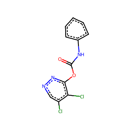 O=C(Nc1ccccc1)Oc1nncc(Cl)c1Cl